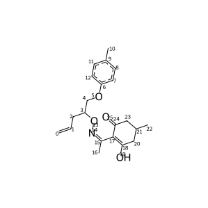 C=CCC(COc1ccc(C)cc1)ON=C(C)C1=C(O)CC(C)CC1=O